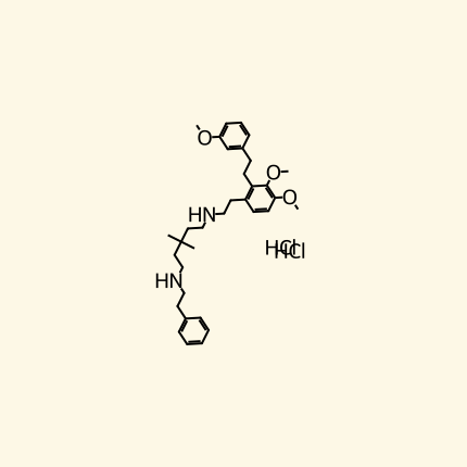 COc1cccc(CCc2c(CCNCCC(C)(C)CCNCCc3ccccc3)ccc(OC)c2OC)c1.Cl.Cl